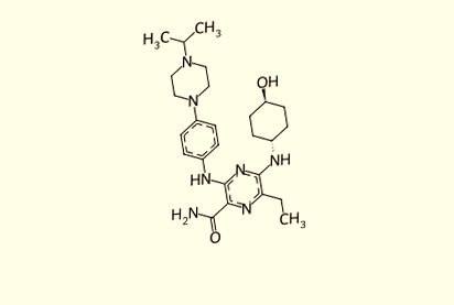 CCc1nc(C(N)=O)c(Nc2ccc(N3CCN(C(C)C)CC3)cc2)nc1N[C@H]1CC[C@H](O)CC1